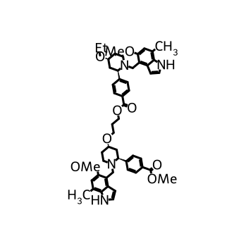 CCO[C@@H]1CCN(Cc2c(OC)cc(C)c3[nH]ccc23)[C@@H](c2ccc(C(=O)OCCCO[C@H]3CCN(Cc4c(OC)cc(C)c5[nH]ccc45)[C@H](c4ccc(C(=O)OC)cc4)C3)cc2)C1